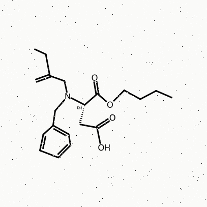 C=C(CC)CN(Cc1ccccc1)[C@@H](CC(=O)O)C(=O)OCCCC